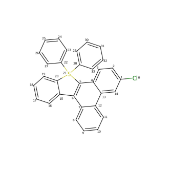 Clc1ccc2c3c(c4ccccc4c2c1)-c1ccccc1S3(c1ccccc1)c1ccccc1